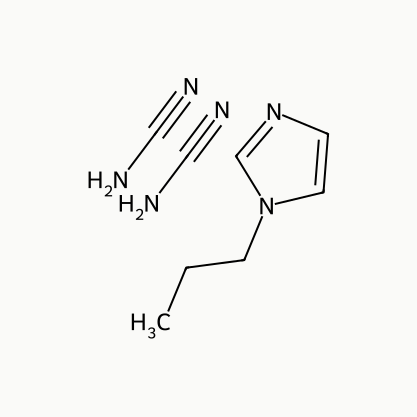 CCCn1ccnc1.N#CN.N#CN